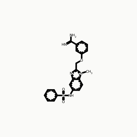 Cn1c(COc2cccc(C(=N)N)c2)nc2cc(NS(=O)(=O)c3ccccc3)ccc21